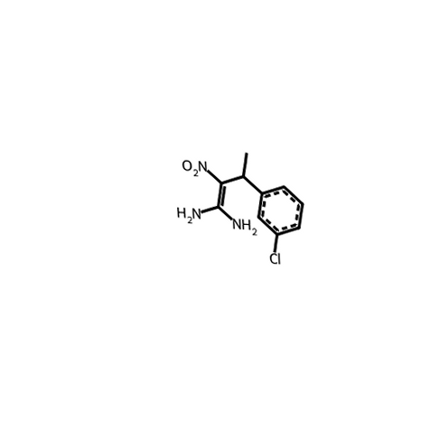 CC(C(=C(N)N)[N+](=O)[O-])c1cccc(Cl)c1